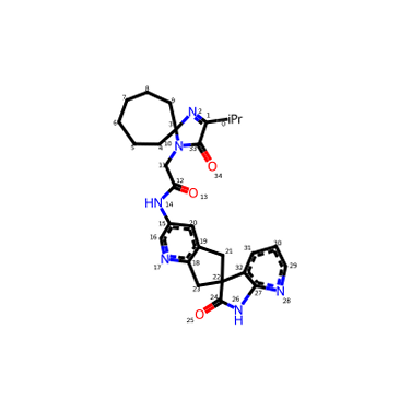 CC(C)C1=NC2(CCCCCC2)N(CC(=O)Nc2cnc3c(c2)CC2(C3)C(=O)Nc3ncccc32)C1=O